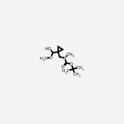 COC(O)C1(CN(C)C(=O)OC(C)(C)C)CC1